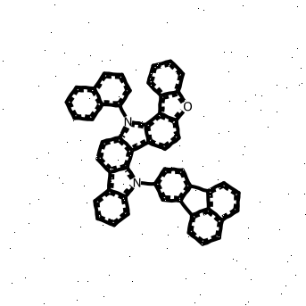 c1ccc2c(-n3c4ccc5c6ccccc6n(-c6ccc7c(c6)-c6cccc8cccc-7c68)c5c4c4ccc5oc6ccccc6c5c43)cccc2c1